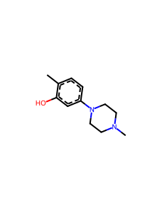 Cc1ccc(N2CCN(C)CC2)cc1O